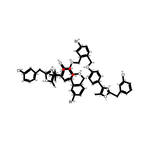 Cc1oc(Cc2cccc(Cl)c2)nc1-c1ccc(OCc2ccc(Br)cc2COC(OCc2cc(Br)ccc2COc2ccc(-c3nc(Cc4cccc(Cl)c4)oc3C)cc2)C(=O)OC(C)(C)C)cc1